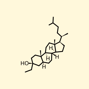 CC[C@]1(O)CC[C@@]2(C)[C@@H](CC[C@@H]3[C@@H]2CC[C@]2(C)[C@@H]([C@H](C)CCC(C)C)CC[C@@H]32)C1